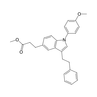 COC(=O)CCc1ccc2c(c1)c(CCc1ccccc1)cn2-c1ccc(OC)cc1